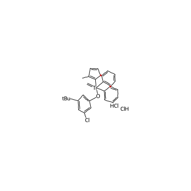 Cl.Cl.[CH2]=[Ti]([O]c1cc(Cl)cc(C(C)(C)C)c1)([C]1=C(C)C=CC1)([c]1ccccc1)[c]1ccccc1